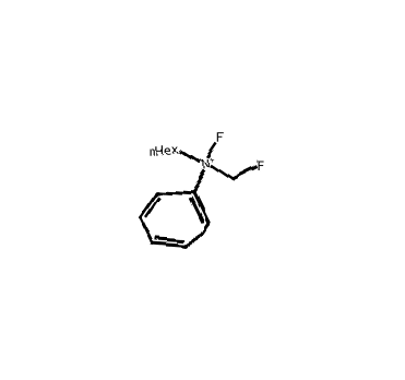 CCCCCC[N+](F)(CF)c1ccccc1